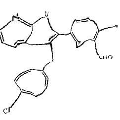 O=Cc1cc(-c2[nH]c3ncccc3c2Sc2ccc(Cl)cc2)ccc1F